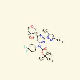 Cc1cc(C)n(-c2nc([C@@H]3COCC[C@H]3O)cc(N(C(=O)OC(C)(C)C)C3CCC(F)(F)CC3)n2)n1